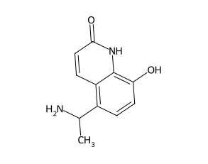 CC(N)c1ccc(O)c2[nH]c(=O)ccc12